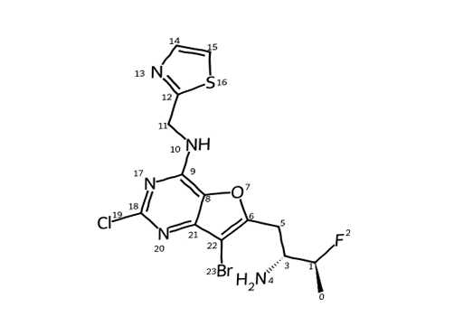 C[C@H](F)[C@H](N)Cc1oc2c(NCc3nccs3)nc(Cl)nc2c1Br